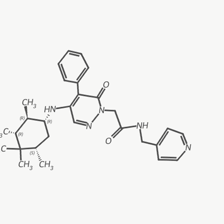 C[C@@H]1[C@@H](C)C(C)(C)[C@@H](C)C[C@H]1Nc1cnn(CC(=O)NCc2ccncc2)c(=O)c1-c1ccccc1